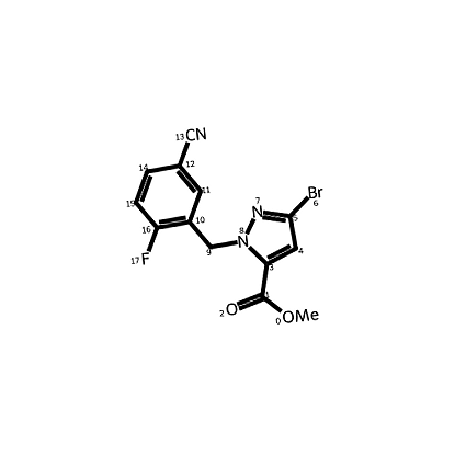 COC(=O)c1cc(Br)nn1Cc1cc(C#N)ccc1F